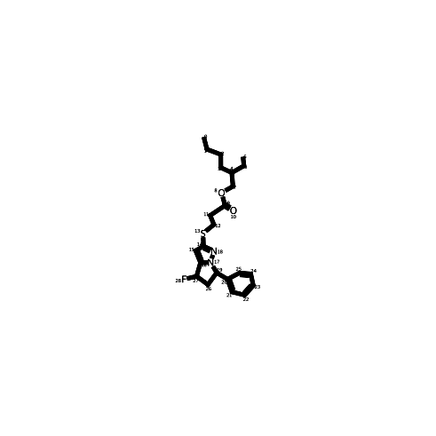 CCCCC(CC)COC(=O)CCSc1cc2n(n1)C(c1ccccc1)CC2F